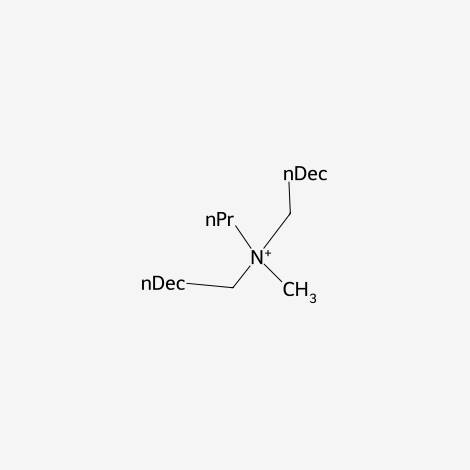 CCCCCCCCCCC[N+](C)(CCC)CCCCCCCCCCC